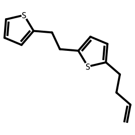 C=CCCc1ccc(CCc2cccs2)s1